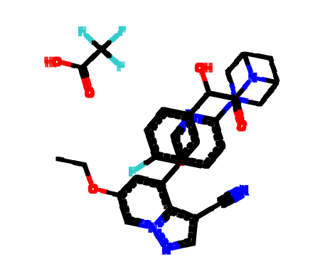 CCOc1cc(-c2ccc(N3CC4CC(C3)N4C(=O)C(O)c3ccc(F)cc3)nc2)c2c(C#N)cnn2c1.O=C(O)C(F)(F)F